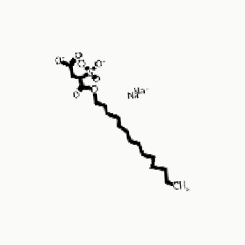 CCCCCCCCCCCCCCOC(=O)C(CC(=O)[O-])S(=O)(=O)[O-].[Na+].[Na+]